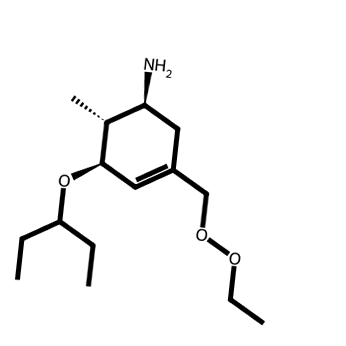 CCOOCC1=C[C@@H](OC(CC)CC)[C@H](C)[C@@H](N)C1